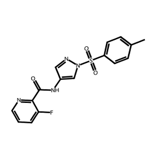 Cc1ccc(S(=O)(=O)n2cc(NC(=O)c3ncccc3F)cn2)cc1